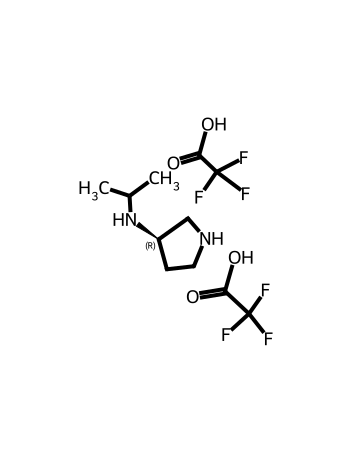 CC(C)N[C@@H]1CCNC1.O=C(O)C(F)(F)F.O=C(O)C(F)(F)F